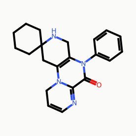 O=C1C2=NC=CCN2C2=C(CNC3(CCCCC3)C2)N1c1ccccc1